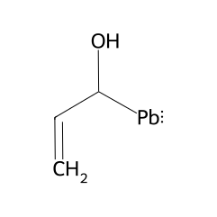 C=C[CH](O)[Pb]